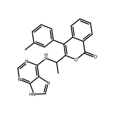 Cc1cccc(-c2c(C(C)Nc3ncnc4[nH]cnc34)oc(=O)c3ccccc23)c1